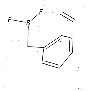 C=C.FB(F)Cc1ccccc1